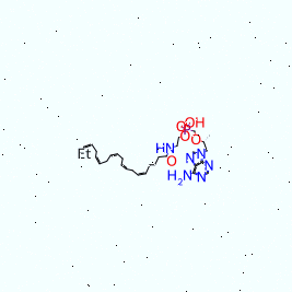 CC/C=C\C/C=C\C/C=C\C/C=C\C/C=C\CCCC(=O)NCCOP(=O)(O)CO[C@H](C)Cn1cnc2c(N)ncnc21